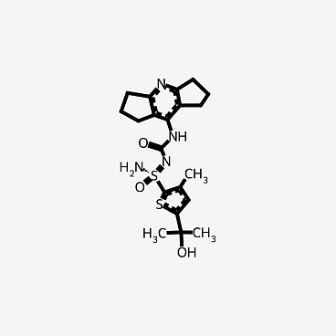 Cc1cc(C(C)(C)O)sc1[S@@](N)(=O)=NC(=O)Nc1c2c(nc3c1CCC3)CCC2